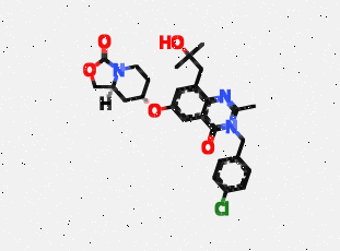 Cc1nc2c(CC(C)(C)O)cc(O[C@H]3CCN4C(=O)OC[C@@H]4C3)cc2c(=O)n1Cc1ccc(Cl)cc1